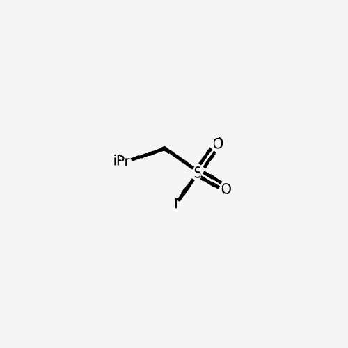 CC(C)CS(=O)(=O)I